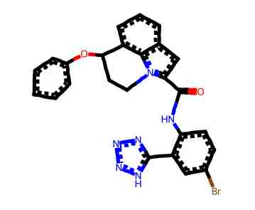 O=C(Nc1ccc(Br)cc1-c1nnn[nH]1)c1cc2cccc3c2n1CCC3Oc1ccccc1